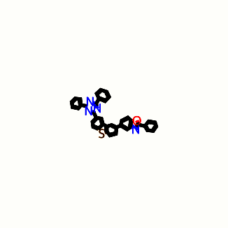 c1ccc(-c2nc(-c3ccccc3)nc(-c3ccc4sc5ccc(-c6ccc7oc(-c8ccccc8)nc7c6)cc5c4c3)n2)cc1